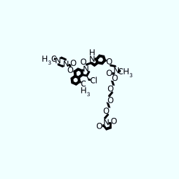 Cc1cccc2c(OC(=O)N3CCN(C)CC3)cc3c(c12)[C@H](CCl)CN3C(=O)c1cc2cc(OCCN(C)C(=O)OCCOCCOCCOCCN3C(=O)C=CC3=O)ccc2[nH]1